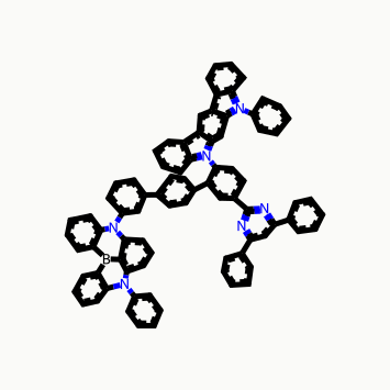 c1ccc(-c2cc(-c3ccccc3)nc(-c3ccc(-n4c5ccccc5c5cc6c7ccccc7n(-c7ccccc7)c6cc54)c(-c4ccc(-c5cccc(N6c7ccccc7B7c8ccccc8N(c8ccccc8)c8cccc6c87)c5)cc4)c3)n2)cc1